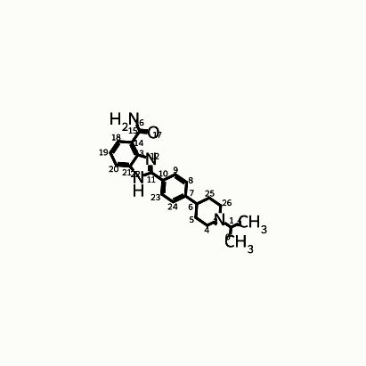 CC(C)N1CCC(c2ccc(-c3nc4c(C(N)=O)cccc4[nH]3)cc2)CC1